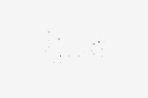 Cc1ncc(-c2ccnc(Nc3cccc(Cl)c3)n2)n1Cc1ccccc1